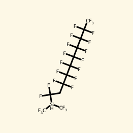 FC(F)(F)[SiH](C(F)(F)F)C(F)(F)CC(F)(F)C(F)(F)C(F)(F)C(F)(F)C(F)(F)C(F)(F)C(F)(F)C(F)(F)F